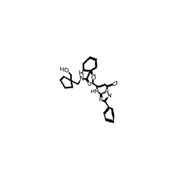 O=C(NCC1(CO)CCCC1)C1(OCc2cc(=O)n3nc(-c4ccccc4)nc3[nH]2)CCCCC1